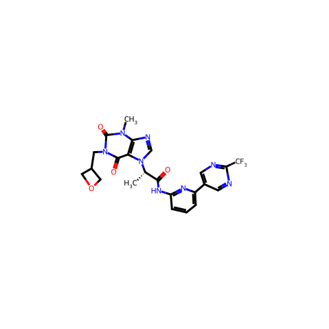 C[C@@H](C(=O)Nc1cccc(-c2cnc(C(F)(F)F)nc2)n1)n1cnc2c1c(=O)n(CC1COC1)c(=O)n2C